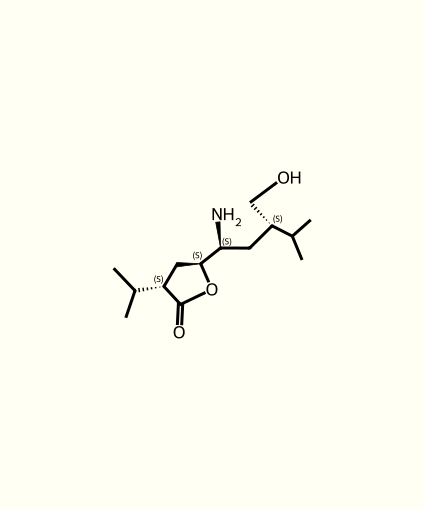 CC(C)[C@@H](CO)C[C@H](N)[C@@H]1C[C@@H](C(C)C)C(=O)O1